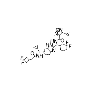 O=C(CC1CC(F)(F)C1)N[C@@H](c1ccc2nc([C@@H](NC(=O)c3nonc3C3CC3)[C@@H]3CCCC(F)(F)C3)[nH]c2c1)C1CC1